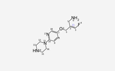 NC/C(=C\F)COc1ccc(N2CCNCC2)nc1